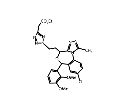 CCOC(=O)Cc1nnn(CCC2OC(c3cccc(OC)c3OC)c3cc(Cl)ccc3-n3c(C)nnc32)n1